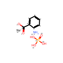 N.O=C([O-])c1ccccc1.O=P(O)(O)O.[Na+]